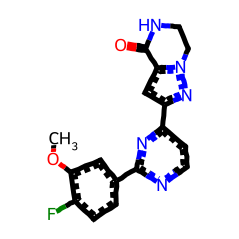 COc1cc(-c2nccc(-c3cc4n(n3)CCNC4=O)n2)ccc1F